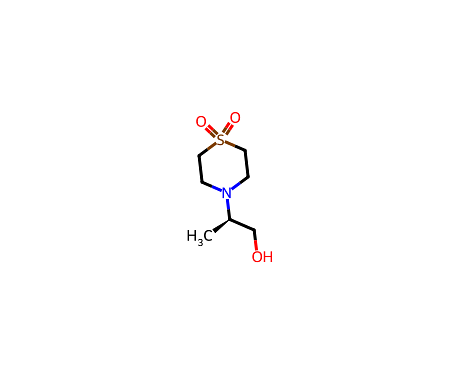 C[C@H](CO)N1CCS(=O)(=O)CC1